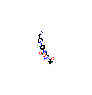 CC(C)(C)C(=O)NCC1CN(c2ccc(N3CCC(=CC#N)CC3)c(F)c2)C(=O)O1